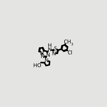 Cc1cc(Cl)cc(-c2cnc(Nc3nc(N4CCCC4CO)nn4cccc34)s2)c1